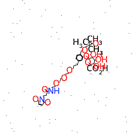 CC1(C)C(=O)C1(C)COCc1ccc(CCCOCCOCCOCCNC(=O)CCN2C(=O)C=CC2=O)cc1O[C@@H]1O[C@H](C(=O)O)[C@@H](O)[C@H](O)[C@H]1O